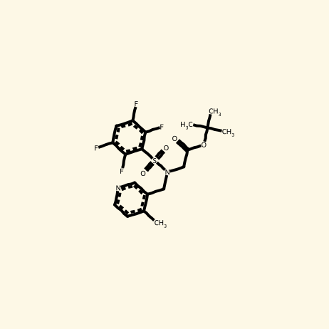 Cc1ccncc1CN(CC(=O)OC(C)(C)C)S(=O)(=O)c1c(F)c(F)cc(F)c1F